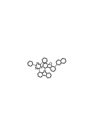 c1ccc(-c2nc(-c3ccccc3)nc(-c3cccc4c5ccccc5n(-c5cccc6oc7c(-c8ccc9ccccc9c8)cccc7c56)c34)n2)cc1